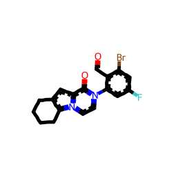 O=Cc1c(Br)cc(F)cc1-n1ccn2c3c(cc2c1=O)CCCC3